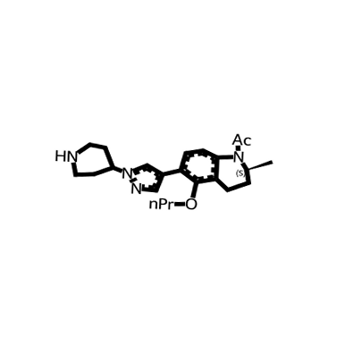 CCCOc1c(-c2cnn(C3CCNCC3)c2)ccc2c1CC[C@H](C)N2C(C)=O